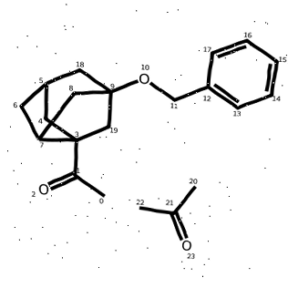 CC(=O)C12CC3CC1CC(OCc1ccccc1)(C3)C2.CC(C)=O